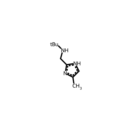 Cc1c[nH]c(CNC(C)(C)C)n1